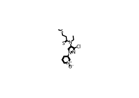 CCN(C(=S)CCSC)c1cn(-c2ccc[n+]([O-])c2)nc1Cl